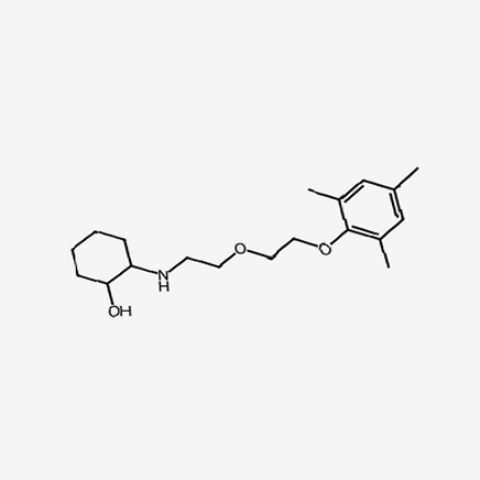 Cc1cc(C)c(OCCOCCNC2CCCCC2O)c(C)c1